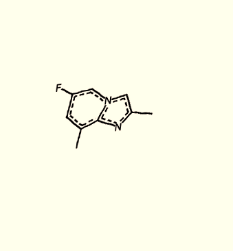 Cc1cn2cc(F)cc(C)c2n1